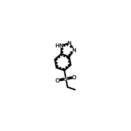 CCS(=O)(=O)c1ccc2[nH]nnc2c1